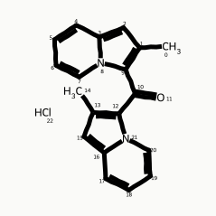 Cc1cc2ccccn2c1C(=O)c1c(C)cc2ccccn12.Cl